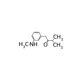 CNc1cccc(CC(=O)C(C)C)c1